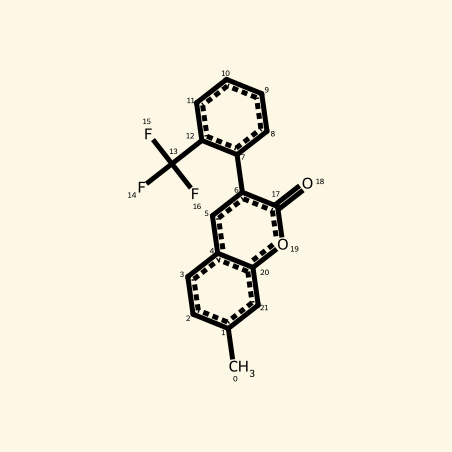 Cc1ccc2cc(-c3ccccc3C(F)(F)F)c(=O)oc2c1